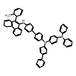 CC1C=CC=CC1c1c2c(c3ccccc3c1Nc1ccc(-c3ccc(N(c4ccc(-c5ccccc5)cc4)c4ccc(N(c5ccccc5)c5ccccc5)cc4)cc3)cc1)CCC=C2